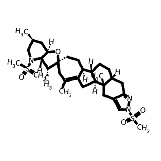 C=S(C)(=O)N1C[C@@H](C)C[C@H]2O[C@]3(CC[C@@H]4C(=C(C)C3)C[C@H]3[C@H]4CC[C@@H]4Cc5nn(S(C)(=O)=O)cc5C[C@@]43C)[C@H](C)[C@@H]21